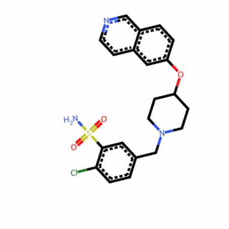 NS(=O)(=O)c1cc(CN2CCC(Oc3ccc4cnccc4c3)CC2)ccc1Cl